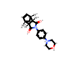 O=C1[C@@H]2[C@H](C(=O)N1c1ccc(N3CCOCC3)cc1)[C@@H]1C=C[C@H]2C1